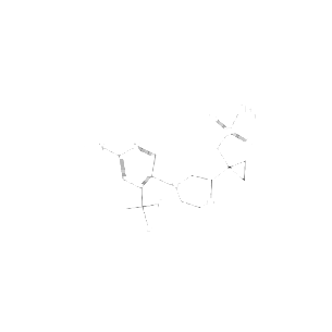 CS(=O)(=O)CC1(C2CN(c3cnc(N)cc3C(F)(F)F)CCO2)CC1